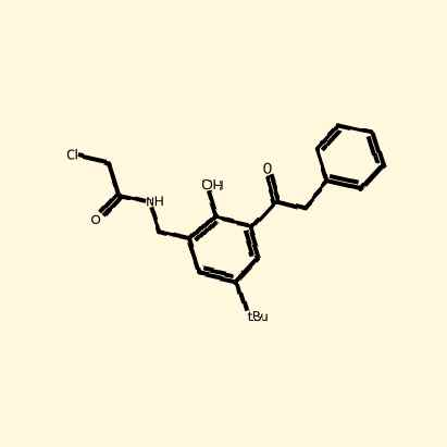 CC(C)(C)c1cc(CNC(=O)CCl)c(O)c(C(=O)Cc2ccccc2)c1